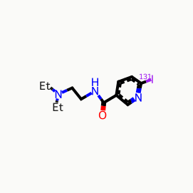 CCN(CC)CCNC(=O)c1ccc([131I])nc1